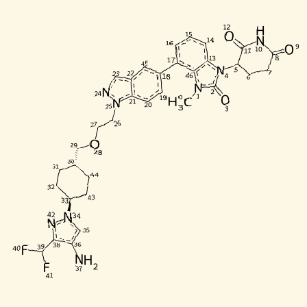 Cn1c(=O)n(C2CCC(=O)NC2=O)c2cccc(-c3ccc4c(cnn4CCOC[C@H]4CC[C@H](n5cc(N)c(C(F)F)n5)CC4)c3)c21